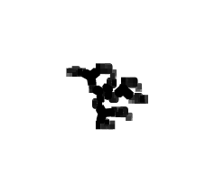 CCCCC(OP(=O)(OC(CCCC)[N+](=O)[O-])SC(CCCC)[N+](=O)[O-])[N+](=O)[O-]